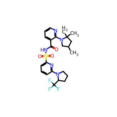 CC1CN(c2ncccc2C(=O)NS(=O)(=O)c2cccc(N3CCCC3C(F)(F)F)n2)C(C)(C)C1